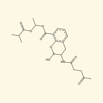 CC(=O)CCC(=O)NC1Cc2cccc(C(=O)OC(C)OC(=O)C(C)C)c2OB1O